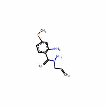 C=CCN(N)C(=C)c1ccc(SC)cc1N